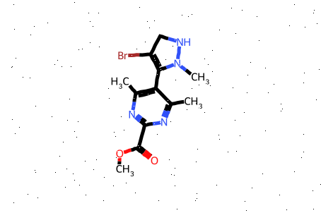 COC(=O)c1nc(C)c(C2=C(Br)CNN2C)c(C)n1